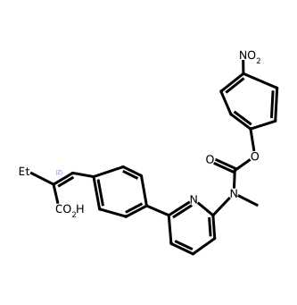 CC/C(=C/c1ccc(-c2cccc(N(C)C(=O)Oc3ccc([N+](=O)[O-])cc3)n2)cc1)C(=O)O